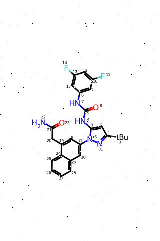 CC(C)(C)c1cc(NC(=O)Nc2cc(F)cc(F)c2)n(-c2cc(CC(N)=O)c3ccccc3c2)n1